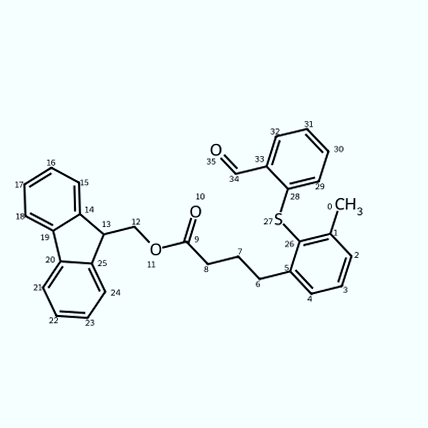 Cc1cccc(CCCC(=O)OCC2c3ccccc3-c3ccccc32)c1Sc1ccccc1C=O